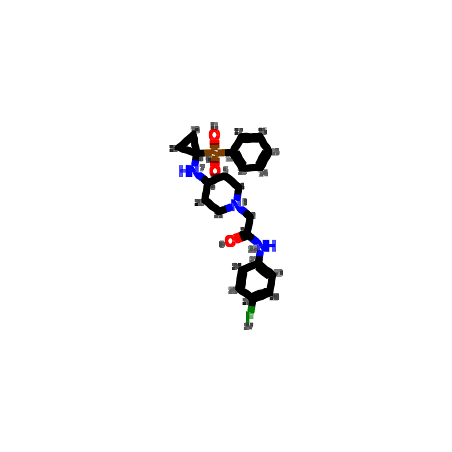 O=C(CN1CCC(NC2(S(=O)(=O)c3ccccc3)CC2)CC1)Nc1ccc(F)cc1